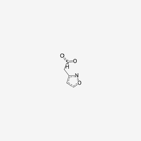 O=[SH](=O)Cc1ccon1